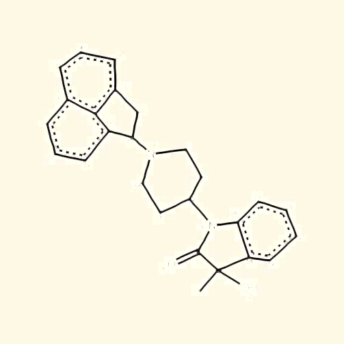 CC1(O)C(=O)N(C2CCN(C3Cc4cccc5cccc3c45)CC2)c2ccccc21